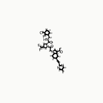 CC(=O)c1cn(CC(=O)N2CC(=C(F)F)C[C@H]2C(=O)NCc2cccc(Cl)c2F)c2ccc(C#Cc3ncc(F)cn3)cc12